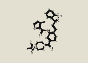 Cc1ccsc1C(=O)Nc1cc(C(=O)N2CCN(S(C)(=O)=O)CC2)ccc1/C=C/c1n[nH]c2ccccc12